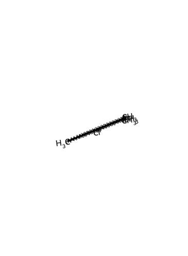 CCCCCCCCCCCCCCCCCCCCCCCCCCCCCCCCCCCCCCCC[P+](C)(C)C.[Cl-]